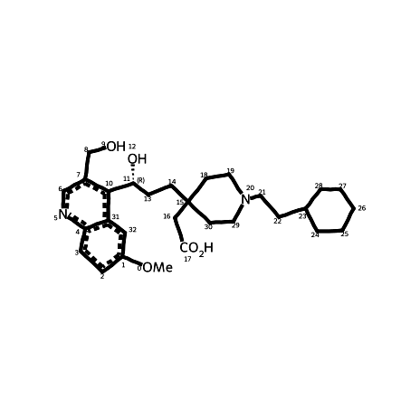 COc1ccc2ncc(CO)c([C@H](O)CCC3(CC(=O)O)CCN(CCC4CCCCC4)CC3)c2c1